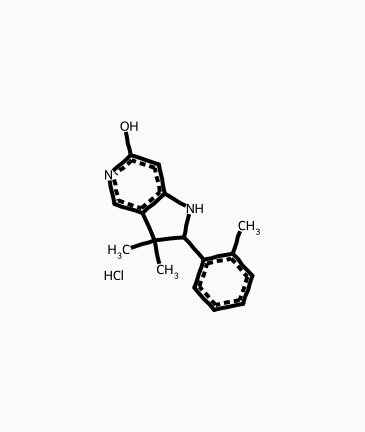 Cc1ccccc1C1Nc2cc(O)ncc2C1(C)C.Cl